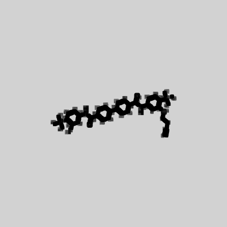 C#CCCOc1cc(NC(=O)c2ccc(-c3ccc(C(=O)Nc4ccc([N+](C)(C)C)c(F)c4)cc3)cc2)ccc1[N+](C)(C)C